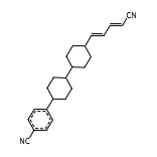 N#CC=CC=CC1CCC(C2CCC(c3ccc(C#N)cc3)CC2)CC1